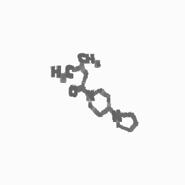 CC(C)CC(=O)N1CCC(N2CCCC2)CC1